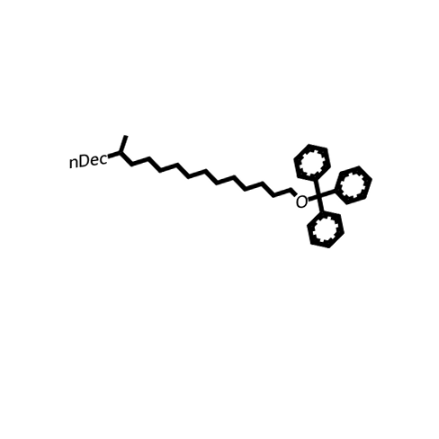 CCCCCCCCCCC(C)CCCCCCCCCCCCOC(c1ccccc1)(c1ccccc1)c1ccccc1